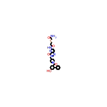 NC(=O)CSCCC(=O)Nc1ccc2ncn(CC3CCN(C(=O)C4CCC(O)CC4c4ccccc4)CC3)c(=O)c2n1